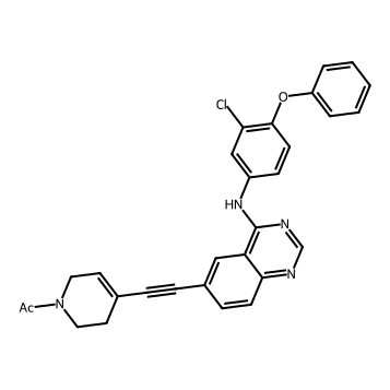 CC(=O)N1CC=C(C#Cc2ccc3ncnc(Nc4ccc(Oc5ccccc5)c(Cl)c4)c3c2)CC1